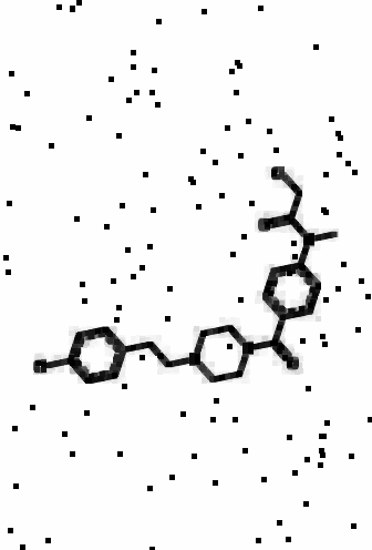 CN(C(=O)CCl)c1ccc(C(=O)N2CCN(CCc3ccc(Cl)cc3)CC2)cc1